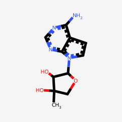 CC1(O)COC(n2ccc3c(N)ncnc32)C1O